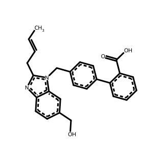 CC=CCc1nc2ccc(CO)cc2n1Cc1ccc(-c2ccccc2C(=O)O)cc1